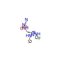 C[C@@H](C(=O)NCCCC#CC1=CN(C)C(Nc2cccc(F)c2)N=C1NCCc1cccs1)N(C)C(=O)/C=C/CN(C)C